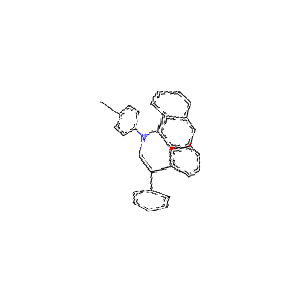 Cc1ccc(N(C=C(c2ccccc2)c2ccccc2)c2cccc3ccccc23)cc1